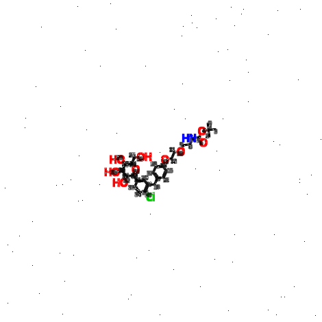 CC(C)(C)OC(=O)NCCOCCOc1ccc(Cc2cc([C@@H]3O[C@H](CO)[C@@H](O)[C@H](O)[C@@H]3O)ccc2Cl)cc1